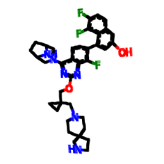 Oc1cc(-c2ccc3c(N4CC5CCC(C4)N5)nc(OCC4(CN5CCC6(CCNC6)CC5)CC4)nc3c2F)c2c(F)c(F)ccc2c1